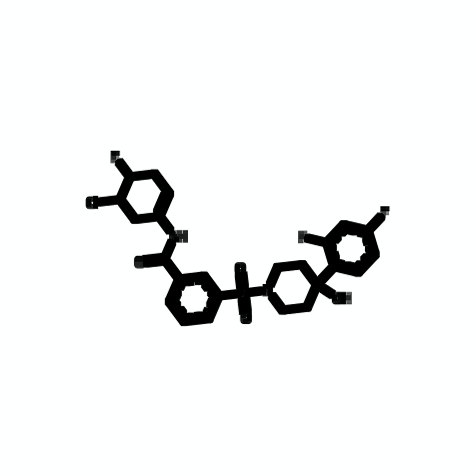 O=C(NC1=CCC(F)C(Cl)C1)c1cccc(S(=O)(=O)N2CCC(O)(c3ccc(F)cc3F)CC2)c1